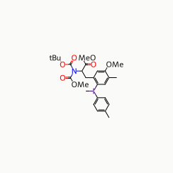 COC(=O)C(Cc1cc(OC)c(C)cc1I(C)c1ccc(C)cc1)N(C(=O)OC)C(=O)OC(C)(C)C